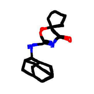 O=C1N=C(NC2C3CC4CC(C3)CC2C4)OC12CCCC2